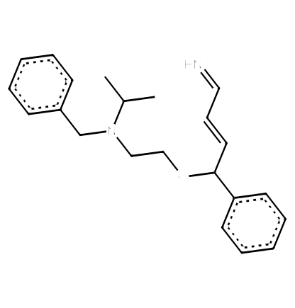 CC(C)N(CCOC(/C=C/C=N)c1ccccc1)Cc1ccccc1